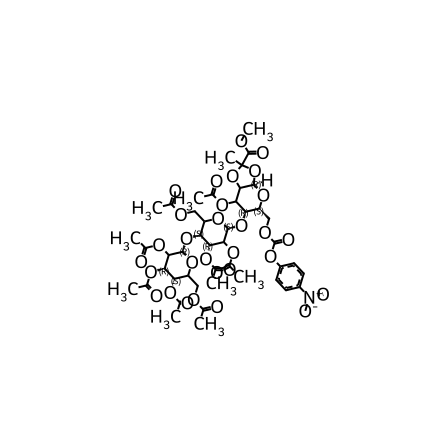 COC(=O)C1(C)OC2C(OC(C)=O)[C@H](O[C@@H]3OC(COC(C)=O)[C@H](O[C@H]4OC(COC(C)=O)[C@H](OC(C)=O)[C@@H](OC(C)=O)C4OC(C)=O)[C@@H](OC(C)=O)C3OC(C)=O)[C@H](COC(=O)Oc3ccc([N+](=O)[O-])cc3)O[C@@H]2O1